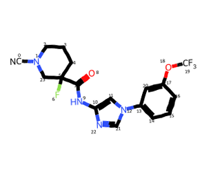 N#CN1CCCC(F)(C(=O)Nc2cn(-c3cccc(OC(F)(F)F)c3)cn2)C1